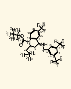 [2H]C([2H])([2H])CC1CC(NCc2cc(C(F)(F)F)cc(C(F)(F)F)c2)c2cc(C(F)(F)F)ccc2N1C(=O)OC([2H])([2H])C([2H])([2H])[2H]